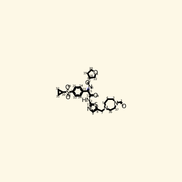 O=CN1CCCN(Cc2cnc(NC(=O)/C(=N/O[C@@H]3CCOC3)c3ccc(S(=O)(=O)C4CC4)cc3)s2)CC1